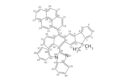 CC1(C)c2ccccc2-c2cc3c(-c4ccc5ccc6cccc7ccc4c5c67)c4ccccc4c(-c4nc5ccccc5n4-c4ccccc4)c3cc21